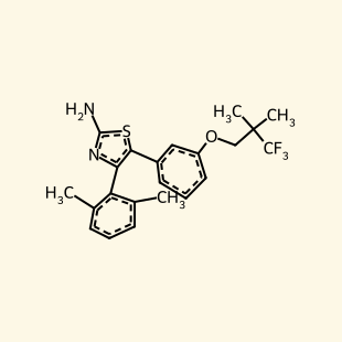 Cc1cccc(C)c1-c1nc(N)sc1-c1cccc(OCC(C)(C)C(F)(F)F)c1